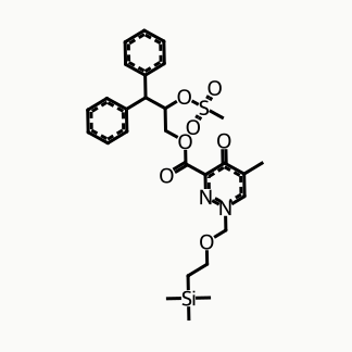 Cc1cn(COCC[Si](C)(C)C)nc(C(=O)OCC(OS(C)(=O)=O)C(c2ccccc2)c2ccccc2)c1=O